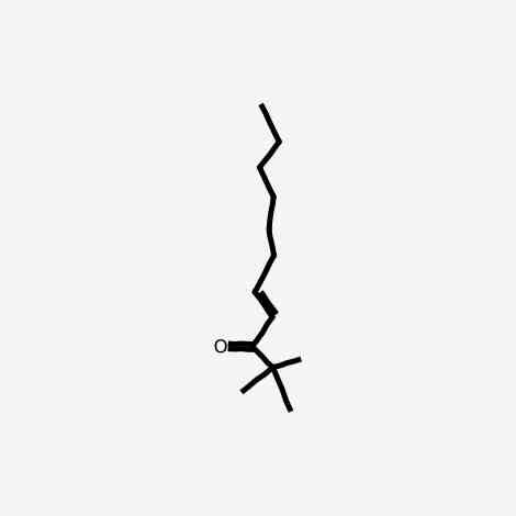 CCCCCCC=CC(=O)C(C)(C)C